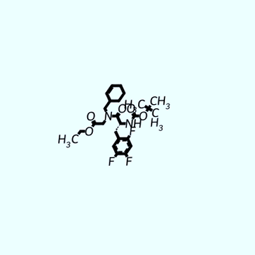 CCOC(=O)CN(CC1C=CCCC1)C(=O)[C@@H](Cc1cc(F)c(F)cc1F)NC(=O)OC(C)(C)C